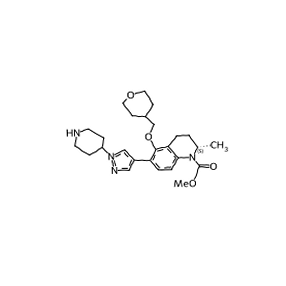 COC(=O)N1c2ccc(-c3cnn(C4CCNCC4)c3)c(OCC3CCOCC3)c2CC[C@@H]1C